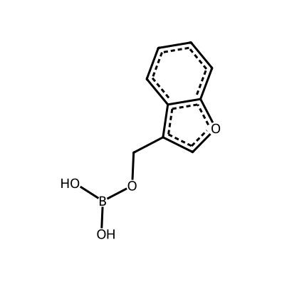 OB(O)OCc1coc2ccccc12